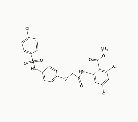 COC(=O)c1c(Cl)cc(Cl)cc1NC(=O)CSc1ccc(NS(=O)(=O)c2ccc(Cl)cc2)cc1